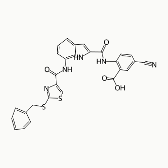 N#Cc1ccc(NC(=O)c2cc3cccc(NC(=O)c4csc(SCc5ccccc5)n4)c3[nH]2)c(C(=O)O)c1